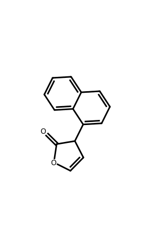 O=C1OC=CC1c1cccc2ccccc12